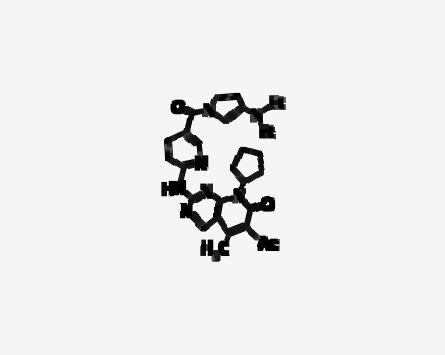 CCN(CC)c1ccn(C(=O)c2ccc(Nc3ncc4c(C)c(C(C)=O)c(=O)n(C5CCCC5)c4n3)nc2)c1